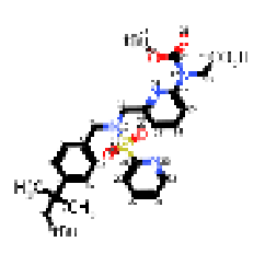 CC(C)(C)CC(C)(C)c1ccc(CN(Cc2cccc(N(CC(=O)O)C(=O)OC(C)(C)C)n2)S(=O)(=O)c2ccccn2)cc1